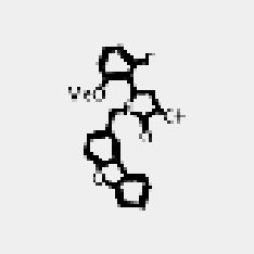 COc1cccc(F)c1C1CC(O)C(=O)N1Cc1ccc2oc3ccccc3c2c1